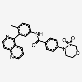 Cc1ccc(NC(=O)c2ccc(N3CCOCS3(=O)=O)cc2)cc1-c1nccc2ncccc12